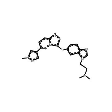 CN(C)CCn1cnc2ccc(Sc3nnc4ccc(-c5cnn(C)c5)nn34)cc21